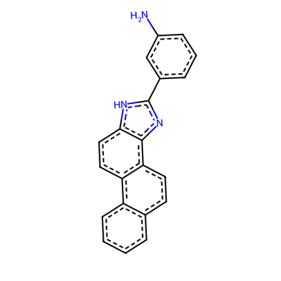 Nc1cccc(-c2nc3c(ccc4c5ccccc5ccc43)[nH]2)c1